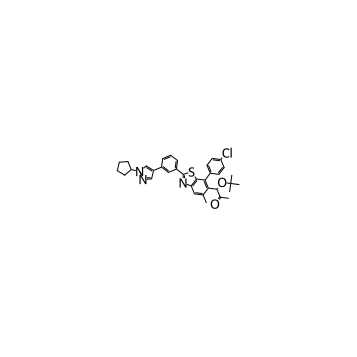 CC(=O)[C@@H](OC(C)(C)C)c1c(C)cc2nc(-c3cccc(-c4cnn(C5CCCC5)c4)c3)sc2c1-c1ccc(Cl)cc1